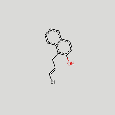 CCC=CCc1c(O)ccc2ccccc12